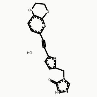 Cl.O=c1[nH]ncn1Cc1ccc(C#Cc2ccc3c(n2)OCCN3)s1